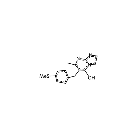 CSc1ccc(Cc2c(C)nc3nccn3c2O)cc1